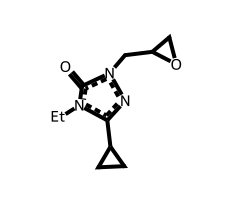 CCn1c(C2CC2)nn(CC2CO2)c1=O